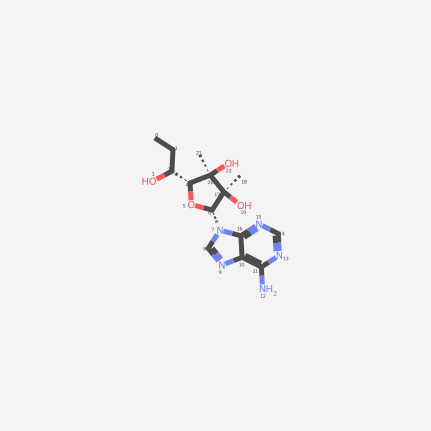 CCC(O)[C@H]1O[C@@H](n2cnc3c(N)ncnc32)[C@](C)(O)[C@]1(C)O